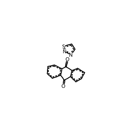 O=C1c2ccccc2C(=O)c2ccccc21.c1csnn1